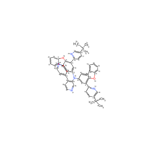 C[Si](C)(C)c1ccc(-c2cc(N(c3cc(-c4ccc([Si](C)(C)C)cn4)c4oc5ccccc5c4c3)c3cnccc3-c3ccncc3)cc3c2oc2ccccc23)nc1